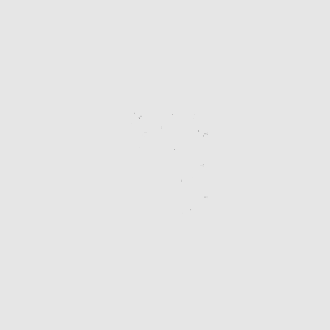 NC(=O)c1ccnc(COCCl)c1